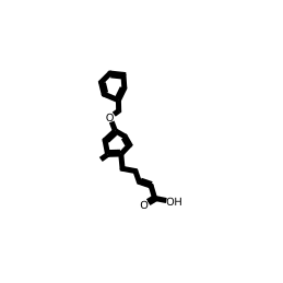 Cc1cc(OCc2ccccc2)ccc1CCC=CC(=O)O